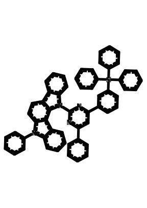 c1ccc(-c2cc(-c3cccc([Si](c4ccccc4)(c4ccccc4)c4ccccc4)c3)nc(-n3c4ccccc4c4ccc5c(c6ccccc6n5-c5ccccc5)c43)n2)cc1